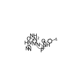 Cn1cc(Nc2nc(N3CCC(F)(F)[C@@H](NC(=O)c4ccc(C5CC5)cc4)C3)cnc2C(N)=O)cn1